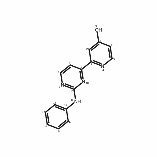 Oc1ccnc(-c2ccnc(Nc3ccccc3)n2)c1